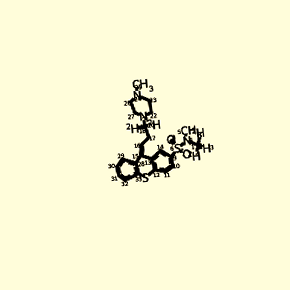 [2H]C([2H])([2H])N(C)S(=O)(=O)c1ccc2c(c1)/C(=C\CC([2H])([2H])N1CCN(C)CC1)c1ccccc1S2